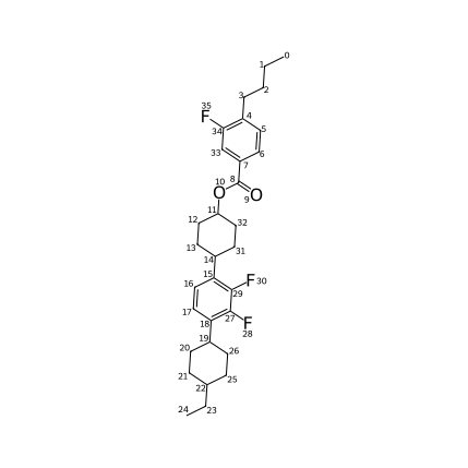 CCCCc1ccc(C(=O)OC2CCC(c3ccc(C4CCC(CC)CC4)c(F)c3F)CC2)cc1F